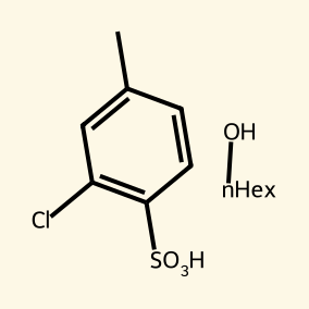 CCCCCCO.Cc1ccc(S(=O)(=O)O)c(Cl)c1